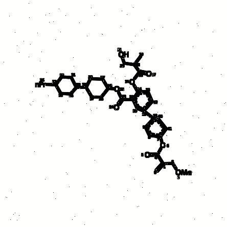 C=C(COC)C(=O)Oc1ccc(-c2ccc(OC(=O)C(C)CO)c(C(=O)OC3CCC(C4CCC(CCC)CC4)CC3)c2)cc1